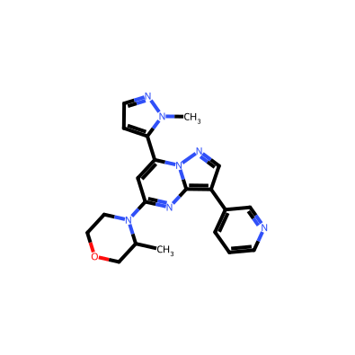 CC1COCCN1c1cc(-c2ccnn2C)n2ncc(-c3cccnc3)c2n1